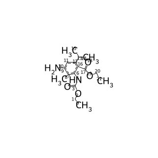 CCOC(=O)Nc1c(C)c(N)cc(C(C)C)c1C(=O)OCC